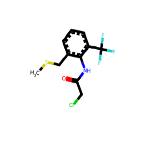 CSCc1cccc(C(F)(F)F)c1NC(=O)CCl